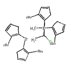 CCCCC1=[C]([Zr]([CH3])([C]2=C(CCCC)C=CC2)[CH](C)Cl)CC=C1.CCCCC1=[C]([Zr][C]2=C(CCCC)C=CC2)CC=C1